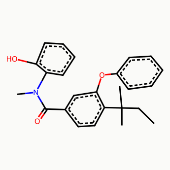 CCC(C)(C)c1ccc(C(=O)N(C)c2ccccc2O)cc1Oc1ccccc1